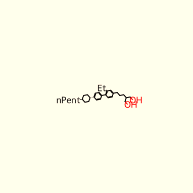 CCCCC[C@H]1CC[C@H](c2ccc(-c3ccc(CCCC(CO)CO)cc3CC)cc2)CC1